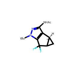 CC(=O)Nc1nn(C(C)(C)C)c2c1[C@H]1CC1C2(F)F